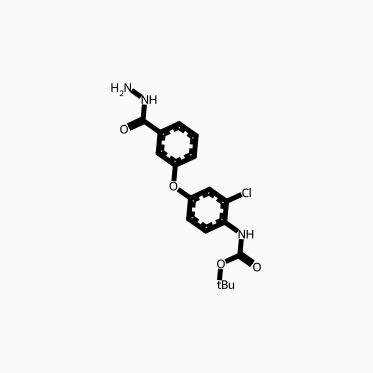 CC(C)(C)OC(=O)Nc1ccc(Oc2cccc(C(=O)NN)c2)cc1Cl